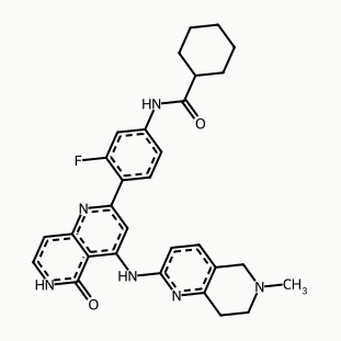 CN1CCc2nc(Nc3cc(-c4ccc(NC(=O)C5CCCCC5)cc4F)nc4cc[nH]c(=O)c34)ccc2C1